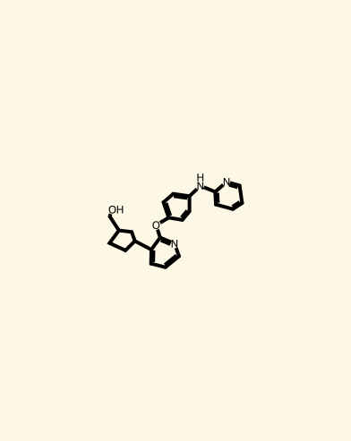 OCC1CCC(c2cccnc2Oc2ccc(Nc3ccccn3)cc2)C1